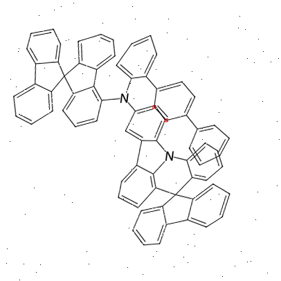 c1ccc(-c2ccc(-c3ccccc3N(c3ccc4c(c3)c3cccc5c3n4-c3ccccc3C53c4ccccc4-c4ccccc43)c3cccc4c3-c3ccccc3C43c4ccccc4-c4ccccc43)cc2)cc1